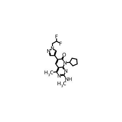 CNc1nc(C)c2cc(-c3cnn(CC(F)F)c3)c(=O)n(C3CCCC3)c2n1